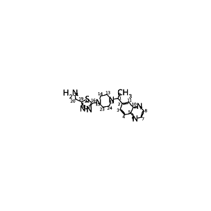 CC(c1ccc2nccnc2c1)N1CCN(c2nnc(CN)s2)CC1